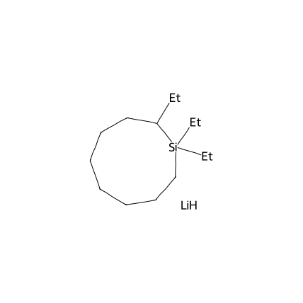 CCC1CCCCCCC[Si]1(CC)CC.[LiH]